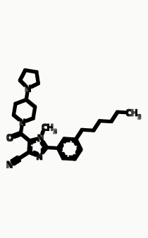 CCCCCCc1cccc(-c2nc(C#N)c(C(=O)N3CCC(N4CCCC4)CC3)n2C)c1